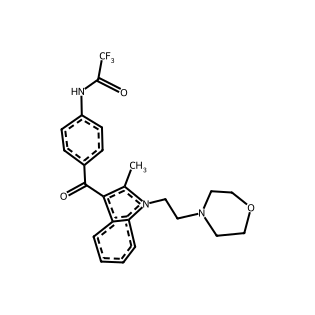 Cc1c(C(=O)c2ccc(NC(=O)C(F)(F)F)cc2)c2ccccc2n1CCN1CCOCC1